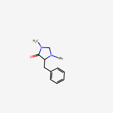 CCCCN1CN(C)C(=O)C1Cc1ccccc1